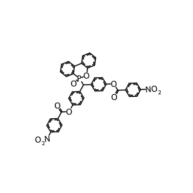 O=C(Oc1ccc(C(c2ccc(OC(=O)c3ccc([N+](=O)[O-])cc3)cc2)P2(=O)Oc3ccccc3-c3ccccc32)cc1)c1ccc([N+](=O)[O-])cc1